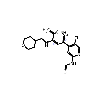 C=C(Cl)/C(=C\C(=C/N)c1cc(NC=O)ncc1Cl)NCC1CCOCC1